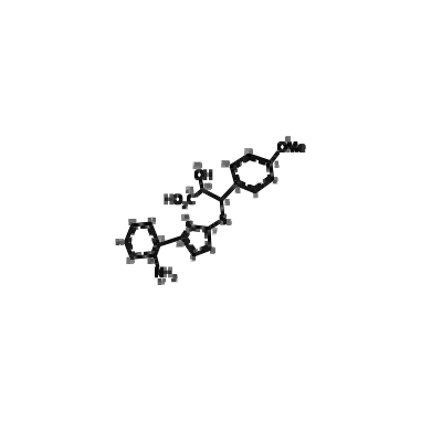 COc1ccc(C(Sc2ccc(-c3ccccc3N)s2)C(O)C(=O)O)cc1